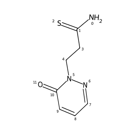 NC(=S)CCn1ncccc1=O